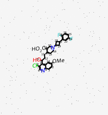 COc1ccc2ncc(Cl)c(C(O)CC[C@@H]3CCN(C4CC(c5cc(F)ccc5F)C4)C[C@@H]3C(=O)O)c2c1